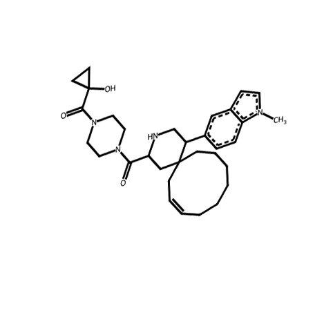 Cn1ccc2cc(C3CNC(C(=O)N4CCN(C(=O)C5(O)CC5)CC4)CC34C/C=C\CCCCCC4)ccc21